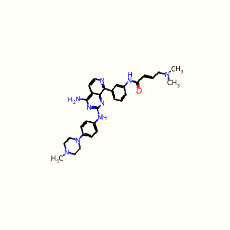 CN(C)C/C=C/C(=O)Nc1cccc(-c2nccc3c(N)nc(Nc4ccc(N5CCN(C)CC5)cc4)nc23)c1